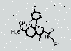 CC(C)CNC(=O)c1cn(-c2ccc(F)cc2F)c2nc(N(C)C)ccc2c1=O